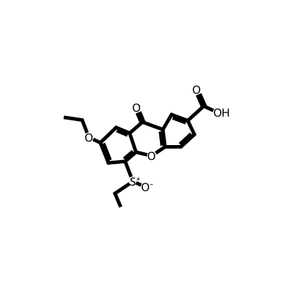 CCOc1cc([S+]([O-])CC)c2oc3ccc(C(=O)O)cc3c(=O)c2c1